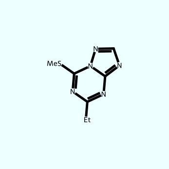 CCc1nc(SC)n2ncnc2n1